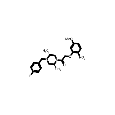 COc1ccc([N+](=O)[O-])c(OCC(=O)N2C[C@@H](C)N(Cc3ccc(F)cc3)C[C@@H]2C)c1